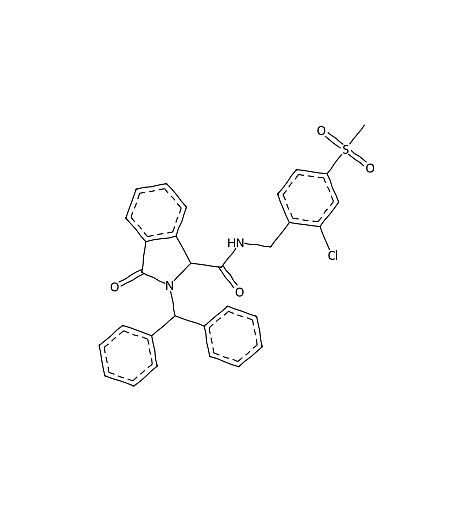 CS(=O)(=O)c1ccc(CNC(=O)C2c3ccccc3C(=O)N2C(c2ccccc2)c2ccccc2)c(Cl)c1